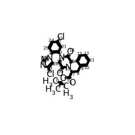 CC(C)(C)OC(=O)C(Cc1ccccc1)N1CC(=O)N(c2cc(Cl)ccc2-n2cc(Cl)nn2)CC1=O